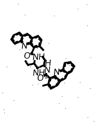 CCC(NC(=O)c1c(C)ccc2cc3ccccc3nc12)C(N)C(CC)NC(=O)c1c(C)ccc2cc3ccccc3nc12